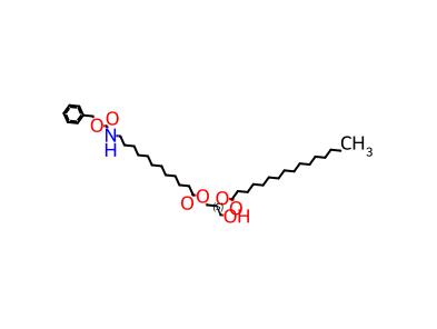 CCCCCCCCCCCCCCCC(=O)O[C@@H](CO)COC(=O)CCCCCCCCCCCNC(=O)OCc1ccccc1